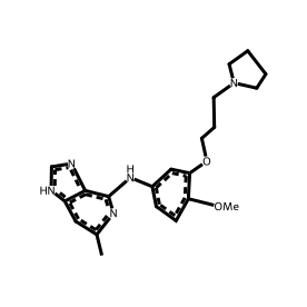 COc1ccc(Nc2nc(C)cc3[nH]cnc23)cc1OCCCN1CCCC1